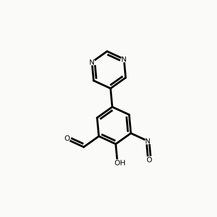 O=Cc1cc(-c2cncnc2)cc(N=O)c1O